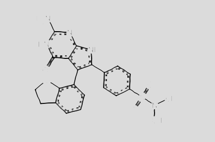 CN(C)S(=O)(=O)c1ccc(-c2[nH]c3nc(N)[nH]c(=O)c3c2-c2cccc3c2OCC3)cc1